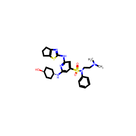 CN(C)CCN(c1ccccc1)S(=O)(=O)c1cc(Nc2nc3c(s2)CCC3)nc(N[C@H]2CC[C@H](O)CC2)c1